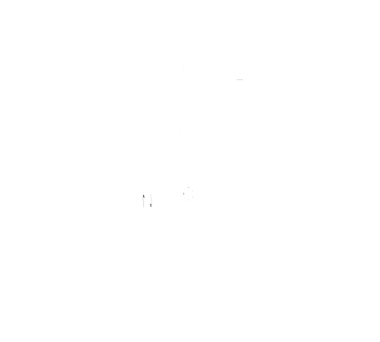 Cc1ccc2nc(Cc3ccc(F)c(F)c3)oc2c1